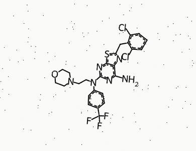 Nc1nc(N(CCN2CCOCC2)c2ccc(C(F)(F)F)cc2)nc2sc(Cc3c(Cl)cccc3Cl)nc12